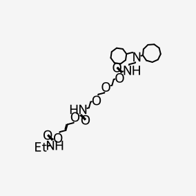 CCNC(=O)OC/C=C/COC(=O)NCCOCCOCCOC(=O)NCCN(CC1CCCCCCC1)C1CCCCCCCC1